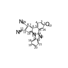 COc1ccc2c3cc(C#N)c(C#N)cc3n3c4ccccc4nc3c2c1